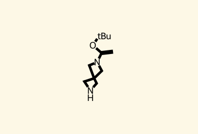 C=C(OC(C)(C)C)N1CC2(CNC2)C1